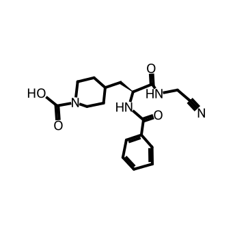 N#CCNC(=O)[C@H](CC1CCN(C(=O)O)CC1)NC(=O)c1ccccc1